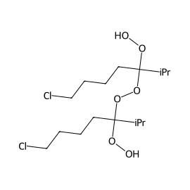 CC(C)C(CCCCCl)(OO)OOC(CCCCCl)(OO)C(C)C